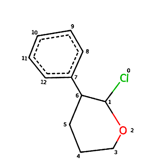 ClC1OCCCC1c1ccccc1